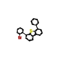 Brc1ccccc1-c1cccc2c1sc1c(-c3ccccc3)cccc12